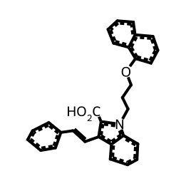 O=C(O)c1c(C=Cc2ccccc2)c2ccccc2n1CCCOc1cccc2ccccc12